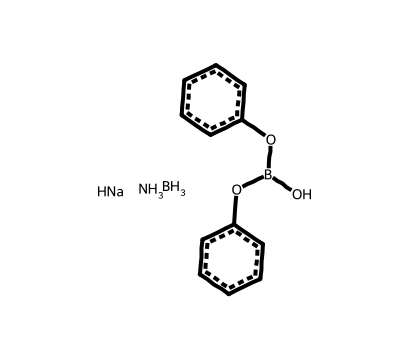 B.N.OB(Oc1ccccc1)Oc1ccccc1.[NaH]